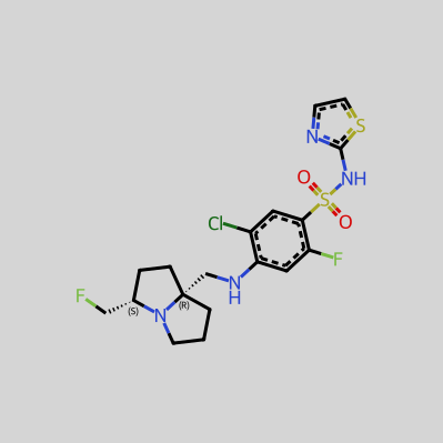 O=S(=O)(Nc1nccs1)c1cc(Cl)c(NC[C@]23CCCN2[C@H](CF)CC3)cc1F